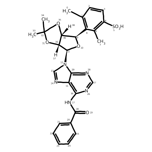 Cc1ccc(S(=O)(=O)O)c(C)c1[C@H]1O[C@@H](n2cnc3c(NC(=O)c4ccccc4)ncnc32)[C@@H]2OC(C)(C)O[C@@H]21